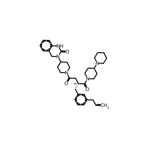 C=CCc1cccc(C[C@H](CC(=O)N2CCC(N3Cc4ccccc4NC3=O)CC2)C(=O)N2CCC(N3CCCCC3)CC2)c1